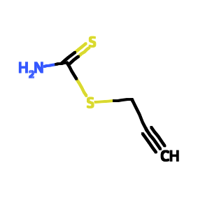 C#CCSC(N)=S